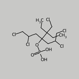 CCC(CC)(CCl)C(CC(Cl)CCl)(CC(Cl)CCl)OP(=O)(O)O